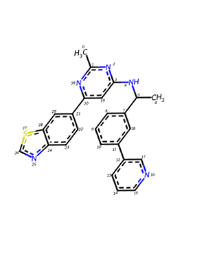 Cc1nc(NC(C)c2cccc(-c3cccnc3)c2)cc(-c2ccc3ncsc3c2)n1